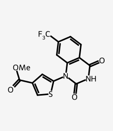 COC(=O)c1csc(-n2c(=O)[nH]c(=O)c3ccc(C(F)(F)F)cc32)c1